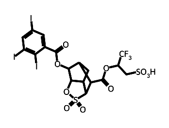 O=C(OC1C2CC3C1OS(=O)(=O)C3C2C(=O)OC(CS(=O)(=O)O)C(F)(F)F)c1cc(I)cc(I)c1I